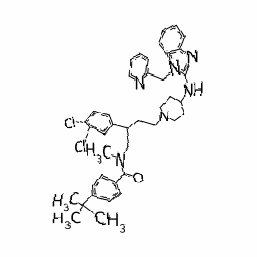 CN(CC(CCN1CCC(Nc2nc3ccccc3n2Cc2ccccn2)CC1)c1ccc(Cl)c(Cl)c1)C(=O)c1ccc(C(C)(C)C)cc1